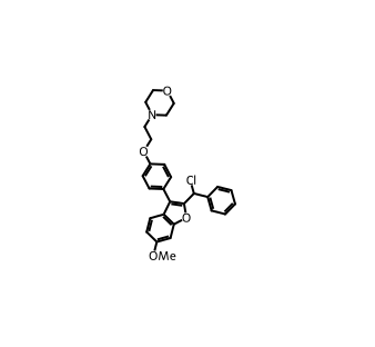 COc1ccc2c(-c3ccc(OCCN4CCOCC4)cc3)c(C(Cl)c3ccccc3)oc2c1